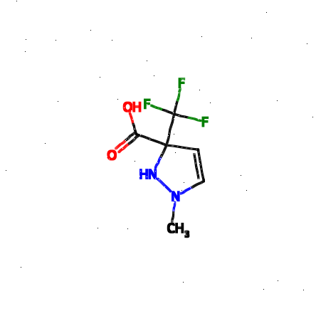 CN1C=CC(C(=O)O)(C(F)(F)F)N1